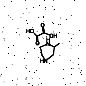 CC1CNCCN1.O=C(O)C(=O)O